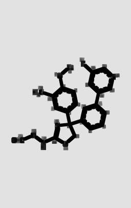 CCOc1ccc(C2(c3cccc(-c4cncc(F)c4)c3)COC(NOC=O)=N2)cc1C